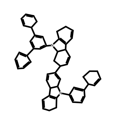 C1=CCC(c2cc(-c3ccccc3)cc(N3C4=C(C=CCC4)C4C=CC(C5=CC6C(C=C5)C5=C(CCC=C5)N6c5cccc(C6C=CCCC6)c5)CC43)c2)C=C1